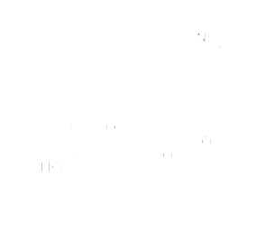 Nc1ccc2c(c1)CCOc1c(cccc1C(=O)O)OC2=O